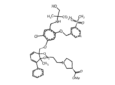 COC(=O)[C@@H]1CCN(CCCOC2(COc3cc(OCc4cncc(S(C)(=O)=O)c4)c(CNC(C)(CO)C(=O)O)cc3Cl)C=CC=C(c3ccccc3)C2(C)C)C1